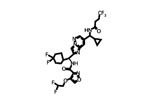 O=C(CCC(F)(F)F)NC(c1cnn2cc([C@@H](NC(=O)c3nocc3OCC(F)F)C3CCC(F)(F)CC3)nc2c1)C1CC1